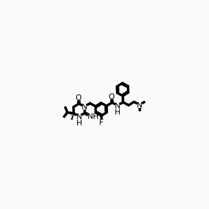 CC(C)[C@]1(C)CC(=O)N(Cc2cc(F)cc(C(=O)NC(CCN(C)C)c3ccccc3)c2)C(=N)N1